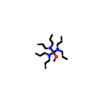 CCC[N](CCC)[Ti]([O]C)([N](CCC)CCC)[N](CCC)CCC